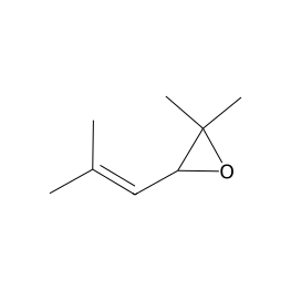 CC(C)=CC1OC1(C)C